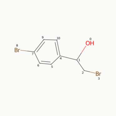 OC(CBr)c1ccc(Br)cc1